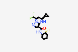 O=C(Nc1ccccc1S)c1cnn2c1NC(=C1CC1)C=C2C(F)F